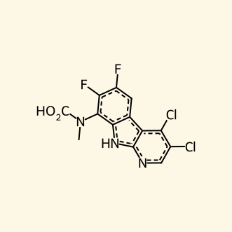 CN(C(=O)O)c1c(F)c(F)cc2c1[nH]c1ncc(Cl)c(Cl)c12